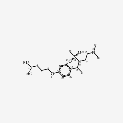 CCN(CC)CCCOc1ccc(C(C)N(CCN(C)C)S(C)(=O)=O)cc1